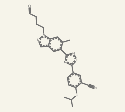 Cc1cc2c(cnn2CCCC=O)cc1-c1noc(-c2ccc(OC(C)C)c(C#N)c2)n1